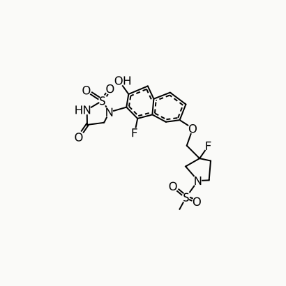 CS(=O)(=O)N1CCC(F)(COc2ccc3cc(O)c(N4CC(=O)NS4(=O)=O)c(F)c3c2)C1